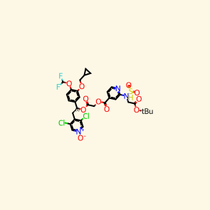 CC(C)(C)OC(=O)CN(c1cc(C(=O)OCC(=O)O[C@@H](Cc2c(Cl)c[n+]([O-])cc2Cl)c2ccc(OC(F)F)c(OCC3CC3)c2)ccn1)[SH](=O)=O